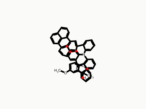 COc1ccc2c(c1)C(C)(C)c1cccc(N(c3ccccc3-c3cccc(-c4cccc5cccc(-c6ccccc6)c45)c3)c3ccccc3-c3nc4ccccc4o3)c1-2